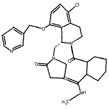 CNC(=O)C1CCCCC1C(=O)N1CCc2c(Cl)ccc(OCc3cccnc3)c2[C@H]1CN1CCCC1=O